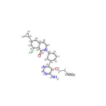 CNCCOc1c(N)ncnc1-c1cccc(-n2ccc3cc(C4CC4)cc(F)c3c2=O)c1